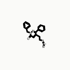 [N-]=[N+]=NCCc1cc(=O)n(Cc2ccccc2)nc1-c1ccccc1